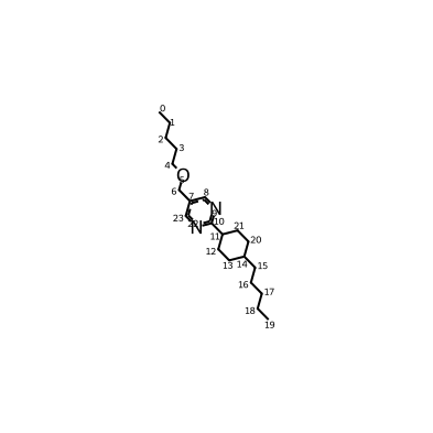 CCCCCOCc1cnc(C2CCC(CCCCC)CC2)nc1